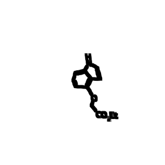 CCOC(=O)COc1cccc2[nH]ccc12